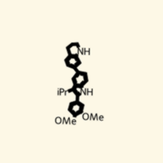 COc1ccc(-c2[nH]c3ccc(-c4ccc5c(c4)NCCC5)cc3c2C(C)C)cc1OC